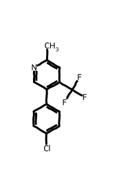 Cc1cc(C(F)(F)F)c(-c2ccc(Cl)cc2)cn1